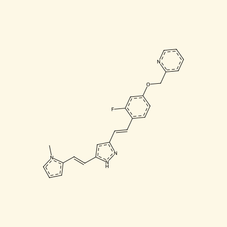 Cn1cccc1C=Cc1cc(C=Cc2ccc(OCc3ccccn3)cc2F)n[nH]1